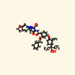 CCCc1cc(C(O)(C(F)(F)F)C(F)(F)F)ccc1Oc1ccc(C(=O)CN2C(=O)NC(C)(C3C=C4CCOC4=CC3)C2=O)c(OCc2ccccc2)c1